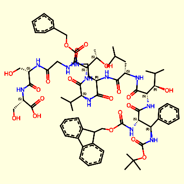 CC(C)C[C@H](NC(=O)[C@@H](NC(=O)[C@@H](NC(=O)OCC1c2ccccc2-c2ccccc21)[C@H](NC(=O)OC(C)(C)C)c1ccccc1)[C@H](O)C(C)C)C(=O)N[C@H](CCNC(=O)OCc1ccccc1)C(=O)N[C@H](C(=O)N[C@H](C(=O)NCC(=O)N[C@@H](CO)C(=O)N[C@@H](CO)C(=O)O)[C@H](C)O)C(C)C